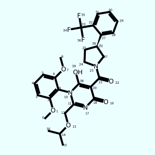 COc1cccc(OC)c1-n1c(COC(C)C)nc(=O)c(C(=O)N2CC[C@@H](c3ccccc3C(F)(F)F)C2)c1O